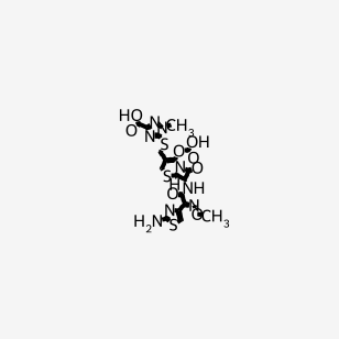 CON=C(C(=O)N[C@@H]1C(=O)N2C(OC(=O)O)=C(CSc3nc(C(=O)O)nn3C)CS[C@H]12)c1csc(N)n1